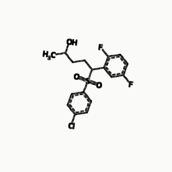 CC(O)CCC(c1cc(F)ccc1F)S(=O)(=O)c1ccc(Cl)cc1